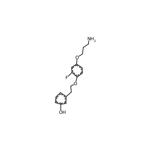 NCCCOc1ccc(OCCc2cccc(O)c2)c(F)c1